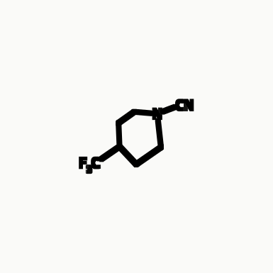 N#CN1CCC(C(F)(F)F)CC1